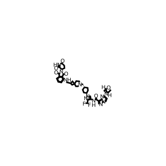 O=C1CCC(N2C(=O)c3cccc(NCC4CC5(CCN(C[C@H]6CC[C@H](n7cc(NC(=O)c8cnn9ccc(N%10C[C@H]%11C[C@@H]%10CO%11)nc89)c(C(F)F)n7)CC6)CC5)C4)c3C2=O)C(=O)N1